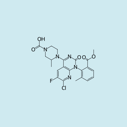 COC(=O)c1cccc(C)c1-n1c(=O)nc(N2CCN(C(=O)O)CC2C)c2cc(F)c(Cl)nc21